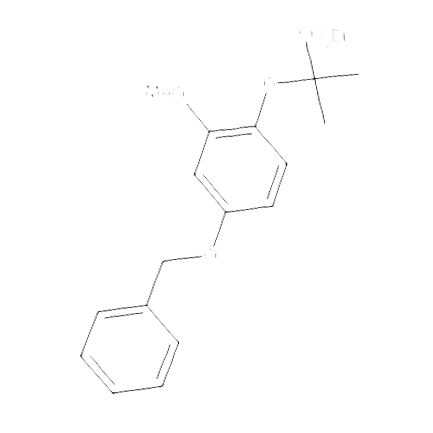 CCOC(=O)C(C)(C)Oc1ccc(OCc2ccccc2)cc1OC